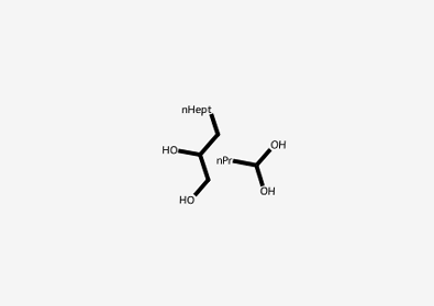 CCCC(O)O.CCCCCCCCC(O)CO